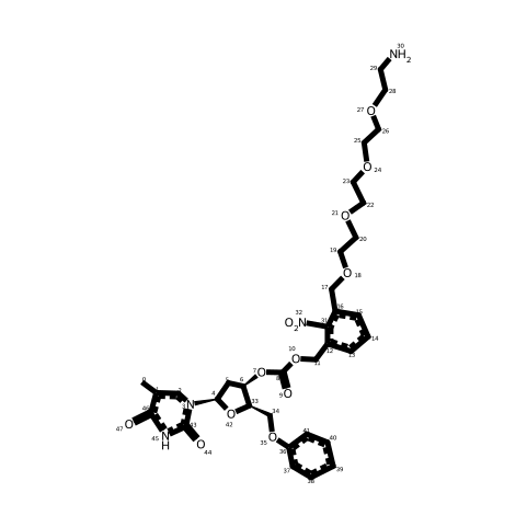 Cc1cn([C@H]2C[C@@H](OC(=O)OCc3cccc(COCCOCCOCCOCCN)c3[N+](=O)[O-])[C@@H](COc3ccccc3)O2)c(=O)[nH]c1=O